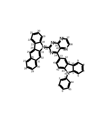 c1ccc(-n2c3ccccc3c3cc(-c4nc(-n5c6ccccc6c6cc7ccccc7cc65)nc5nccnc45)ccc32)cc1